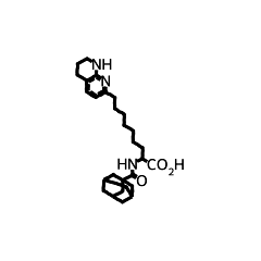 O=C(O)C(CCCCCCCc1ccc2c(n1)NCCC2)NC(=O)C12CC3CC(CC(C3)C1)C2